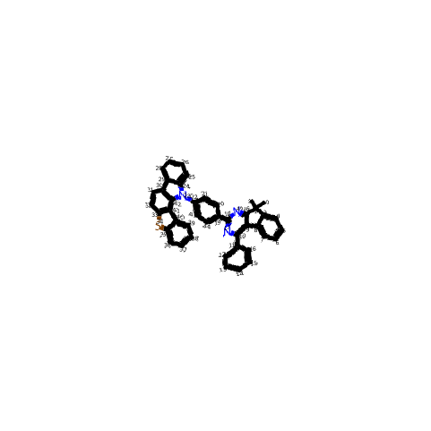 CC1(C)c2ccccc2-c2c(-c3ccccc3)nc(-c3ccc(-n4c5ccccc5c5ccc6sc7ccccc7c6c54)cc3)nc21